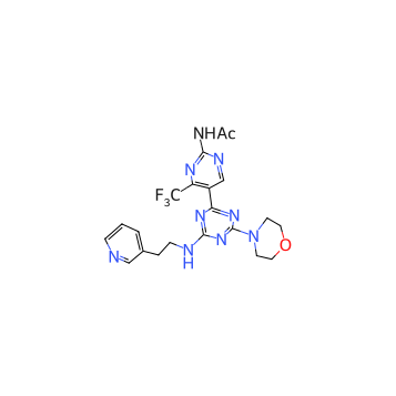 CC(=O)Nc1ncc(-c2nc(NCCc3cccnc3)nc(N3CCOCC3)n2)c(C(F)(F)F)n1